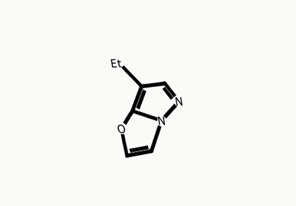 CCc1cnn2ccoc12